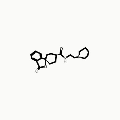 O=C1O[C@]2(CC[C@H](C(=O)NCCN3CCCCC3)CC2)c2ccccc21